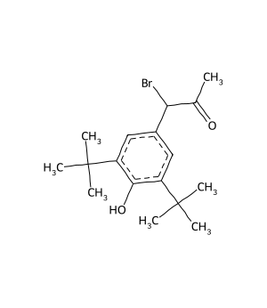 CC(=O)C(Br)c1cc(C(C)(C)C)c(O)c(C(C)(C)C)c1